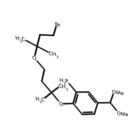 COC(OC)c1ccc(OC(C)(C)CCOC(C)(C)CCBr)c(P)c1